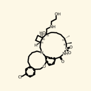 C[C@@H]1[C@@H](C)CCC[C@@](O)(CNCCO)[C@@H]2CC[C@H]2CN2CCCCc3cc(Cl)ccc3COc3ccc(cc32)C(=O)NS1(=O)=O